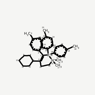 Cc1ccc(C2=C(C3CCCCC3)CC[N+](C)(C)[B-]2(c2ccc(C)cc2)c2ccc(C)cc2)cc1